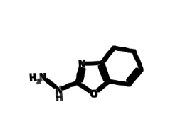 NNc1nc2c(o1)C=CCC2